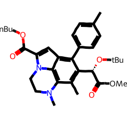 CCCCOC(=O)c1cc2c(-c3ccc(C)cc3)c([C@H](OC(C)(C)C)C(=O)OC)c(C)c3c2n1CCN3C